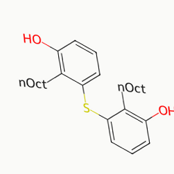 CCCCCCCCc1c(O)cccc1Sc1cccc(O)c1CCCCCCCC